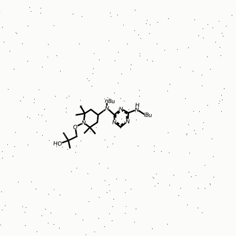 CCCCN(c1n[c]nc(NC(C)CC)n1)C1CC(C)(C)N(OCC(C)(C)O)C(C)(C)C1